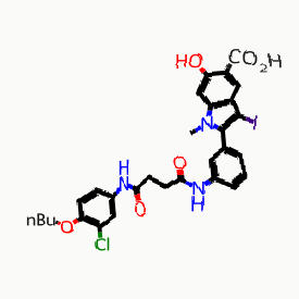 CCCCOc1ccc(NC(=O)CCC(=O)Nc2cccc(-c3c(I)c4cc(C(=O)O)c(O)cc4n3C)c2)cc1Cl